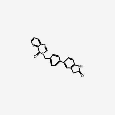 O=C1Cc2cc(-c3ccc(Cn4cnc5cccnc5c4=O)cc3)ccc2N1